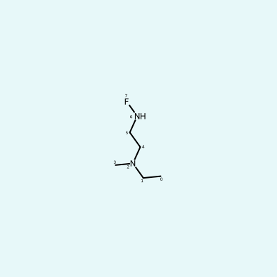 CCN(C)CCNF